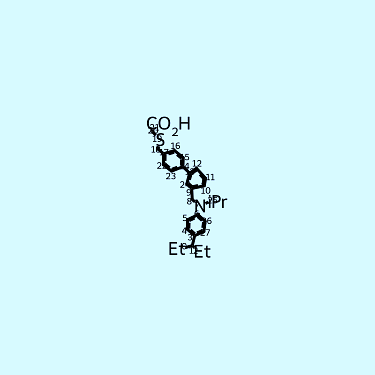 CCC(CC)c1ccc(N(Cc2cccc(-c3ccc(CSCC(=O)O)cc3)c2)C(C)C)cc1